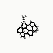 C1=CC(c2ccccc2-c2ccccc2C2C=Cc3ccccc32)c2ccccc21.[Cl-].[Cl-].[Zr+2]